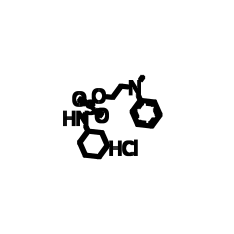 CN(CCOS(=O)(=O)NC1CCCCC1)c1ccccc1.Cl